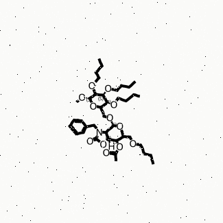 CCCCOCC1O[C@H](OCC2O[C@H](OC)C(OCCCC)[C@@H](OCCCC)[C@@H]2OCCCC)C2[C@@H](OC(=O)N2Cc2ccccc2)[C@@H]1OC(C)=O